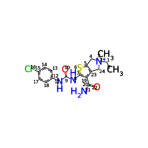 CC[N+]1(C)Cc2sc(NC(=O)Nc3ccc(Cl)cc3)c(C(N)=O)c2C1